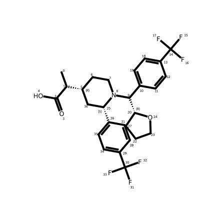 CC(C(=O)O)[C@@H]1CCN(C(c2ccc(C(F)(F)F)cc2)[C@H]2CCCO2)[C@H](c2ccc(C(F)(F)F)cc2)C1